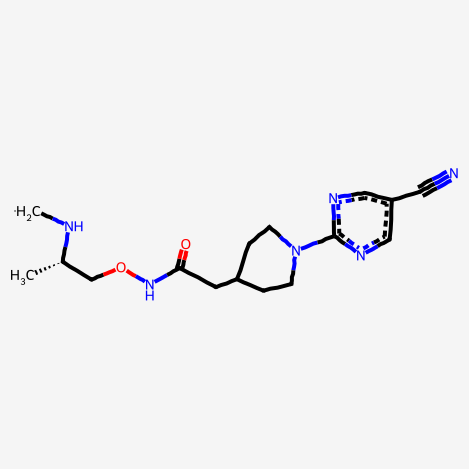 [CH2]N[C@@H](C)CONC(=O)CC1CCN(c2ncc(C#N)cn2)CC1